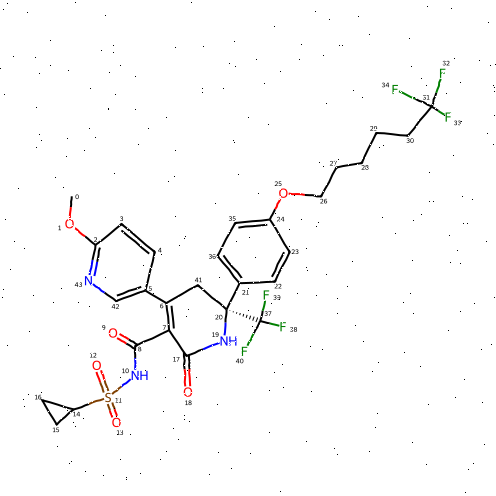 COc1ccc(C2=C(C(=O)NS(=O)(=O)C3CC3)C(=O)N[C@@](c3ccc(OCCCCCC(F)(F)F)cc3)(C(F)(F)F)C2)cn1